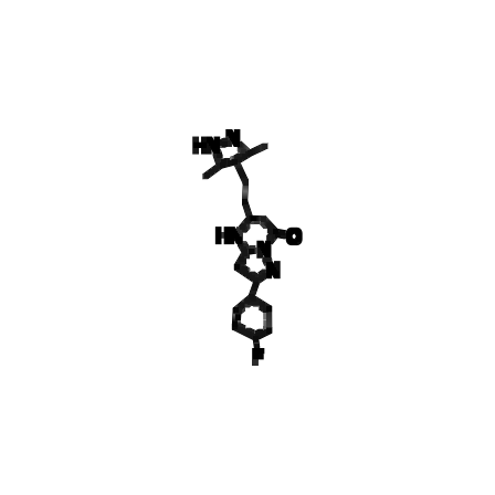 Cc1n[nH]c(C)c1CCc1cc(=O)n2nc(-c3ccc(F)cc3)cc2[nH]1